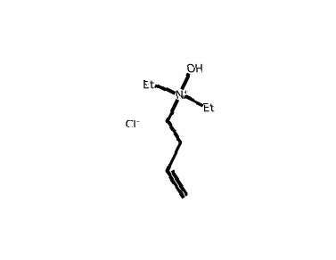 C=CCC[N+](O)(CC)CC.[Cl-]